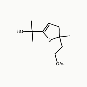 CC(=O)OCCC1(C)CC=C(C(C)(C)O)S1